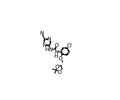 CC1(C)OC[C@@H](COc2ccc(Cl)cc2NC(=O)Nc2cnc(C#N)cn2)O1